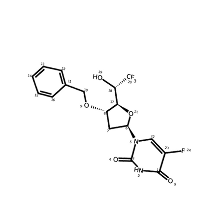 O=c1[nH]c(=O)n([C@H]2C[C@H](OCc3ccccc3)[C@@H]([C@H](O)C(F)(F)F)O2)cc1F